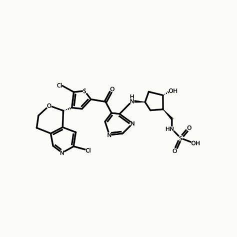 O=C(c1cc([C@H]2OCCc3cnc(Cl)cc32)c(Cl)s1)c1cncnc1N[C@H]1C[C@H](O)[C@@H]([CH]NS(=O)(=O)O)C1